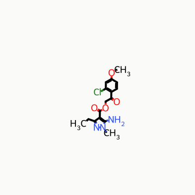 CCc1nn(C)c(N)c1C(=O)OCC(=O)c1ccc(OC)cc1Cl